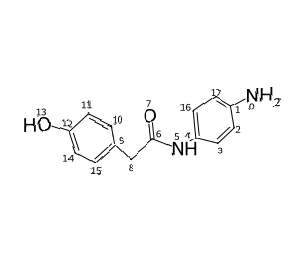 Nc1ccc(NC(=O)Cc2ccc(O)cc2)cc1